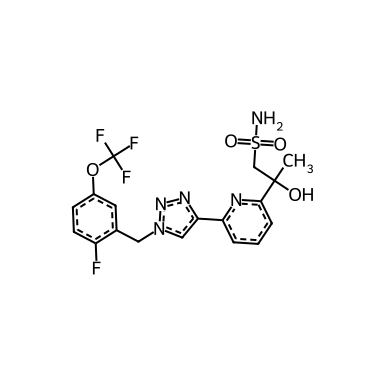 CC(O)(CS(N)(=O)=O)c1cccc(-c2cn(Cc3cc(OC(F)(F)F)ccc3F)nn2)n1